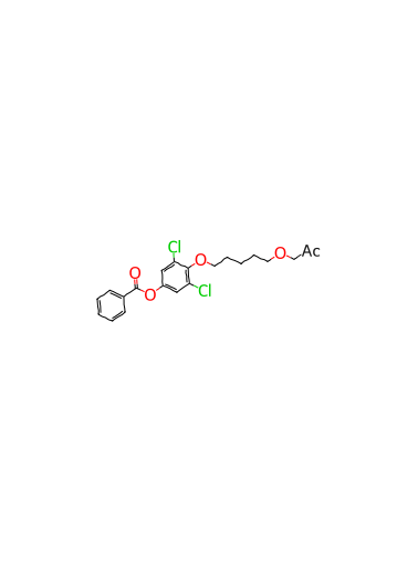 CC(=O)COCCCCCOc1c(Cl)cc(OC(=O)c2ccccc2)cc1Cl